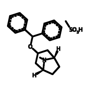 CN1[C@@H]2CC[C@H]1CC(OC(c1ccccc1)c1ccccc1)C2.CS(=O)(=O)O